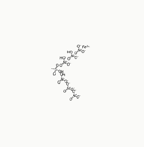 CS(=O)(=O)O.O=[N+]([O-])O.O=[N+]([O-])O.O=[N+]([O-])O.O=[N+]([O-])[O-].O=[N+]([O-])[O-].O=[N+]([O-])[O-].[Fe+3]